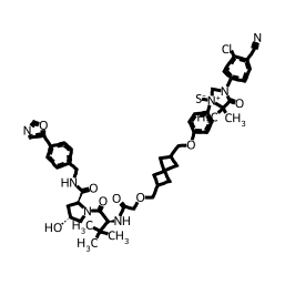 CC(C)(C)[C@H](NC(=O)COCC1CC2(C1)CC(COc1ccc([N+]3([S-])CN(c4ccc(C#N)c(Cl)c4)C(=O)C3(C)C)cc1)C2)C(=O)N1C[C@H](O)C[C@H]1C(=O)NCc1ccc(-c2cnco2)cc1